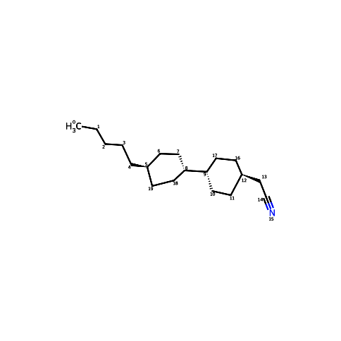 CCCCC[C@H]1CC[C@H]([C@H]2CC[C@H](CC#N)CC2)CC1